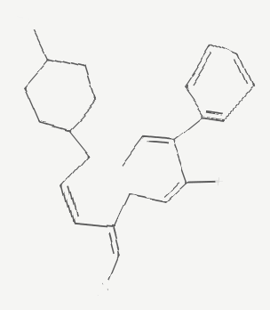 C/C=C(\C(F)=C/CC(/C=C\CC1CCC(S)CC1)=C/N)c1ccccc1